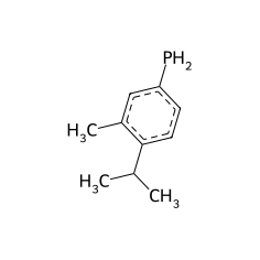 Cc1cc(P)ccc1C(C)C